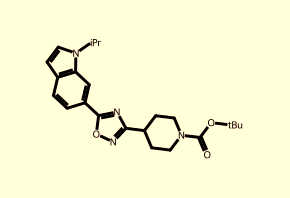 CC(C)n1ccc2ccc(-c3nc(C4CCN(C(=O)OC(C)(C)C)CC4)no3)cc21